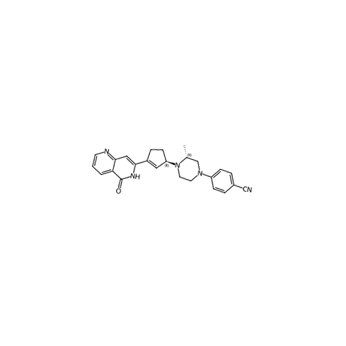 C[C@@H]1CN(c2ccc(C#N)cc2)CCN1[C@H]1C=C(c2cc3ncccc3c(=O)[nH]2)CC1